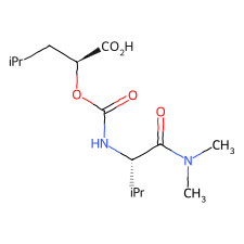 CC(C)C[C@H](OC(=O)N[C@H](C(=O)N(C)C)C(C)C)C(=O)O